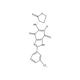 O=C1C(N[C@H]2CCOC2=O)=C(Cl)C(=O)c2[nH]c(-c3cccc(C(F)(F)F)c3)nc21